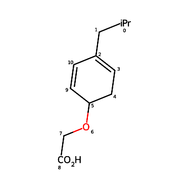 CC(C)CC1=CCC(OCC(=O)O)C=C1